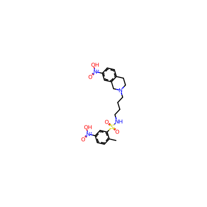 Cc1ccc([N+](=O)O)cc1S(=O)(=O)NCCCCN1CCc2ccc([N+](=O)O)cc2C1